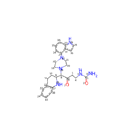 NC(=O)NCCC(=O)C(C1CCc2ccccc2N1)N1CCN(c2cccc3[nH]ccc23)CC1